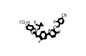 N#Cc1ccc(COc2nc(-c3ccc(Cc4nc5ccc(C(=O)O)cc5n4CC4(CF)CC4)c(F)c3)ccc2F)c(F)c1